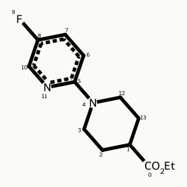 CCOC(=O)C1CCN(c2ccc(F)cn2)CC1